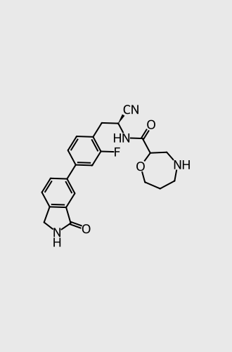 N#C[C@H](Cc1ccc(-c2ccc3c(c2)C(=O)NC3)cc1F)NC(=O)C1CNCCCO1